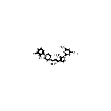 Cc1cc(C)nc(-n2ncc(C=CCN3CCN(c4cccc(Cl)c4Cl)CC3)c2C)n1.Cl